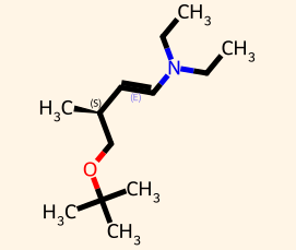 CCN(/C=C/[C@H](C)COC(C)(C)C)CC